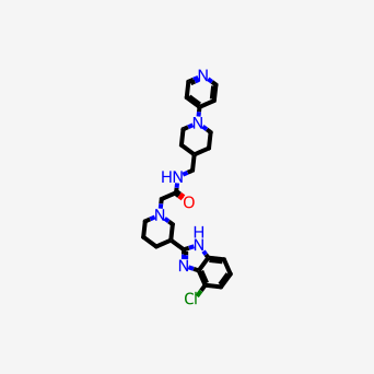 O=C(CN1CCCC(c2nc3c(Cl)cccc3[nH]2)C1)NCC1CCN(c2ccncc2)CC1